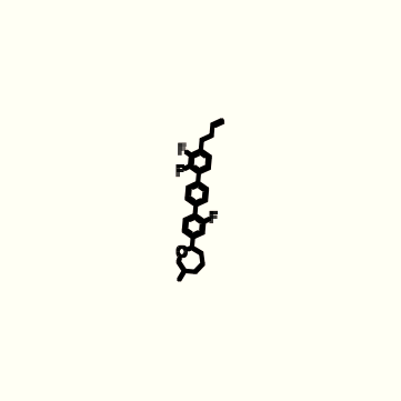 C=CCCc1ccc(-c2ccc(-c3ccc(C4CCCC(C)CO4)cc3F)cc2)c(F)c1F